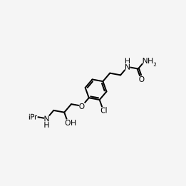 CC(C)NCC(O)COc1ccc(CCNC(N)=O)cc1Cl